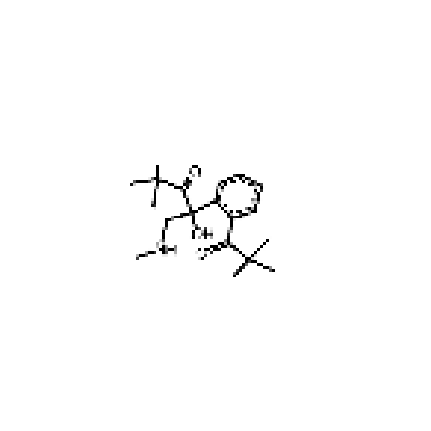 CNCC(O)(C(=O)C(C)(C)C)c1ccccc1C(=O)C(C)(C)C